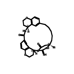 CC[C@]12CCCCCc3ccc4c(c3)[C@H](CCO4)NC(=O)c3ccc4c(c3)[C@@H](CCO4)N(C(=N)N1)C(=O)C2